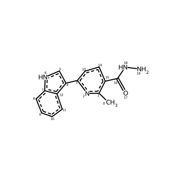 Cc1nc(-c2c[nH]c3ccccc23)ccc1C(=O)NN